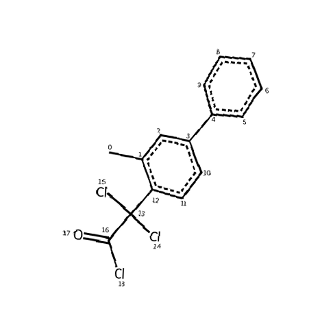 Cc1cc(-c2ccccc2)ccc1C(Cl)(Cl)C(=O)Cl